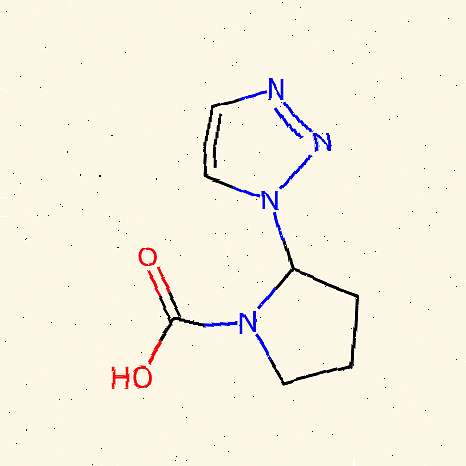 O=C(O)N1CCCC1n1ccnn1